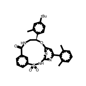 Cc1cc(C(C)(C)C)ccc1[C@@H]1CNC(=O)c2cccc(c2)S(=O)(=O)Nc2nc(cc(-c3c(C)cccc3C)n2)O1